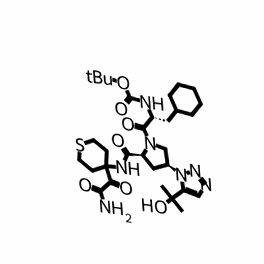 CC(C)(C)OC(=O)N[C@H](CC1CCCCC1)C(=O)N1C[C@@H](n2nncc2C(C)(C)O)C[C@H]1C(=O)NC1(C(=O)C(N)=O)CCSCC1